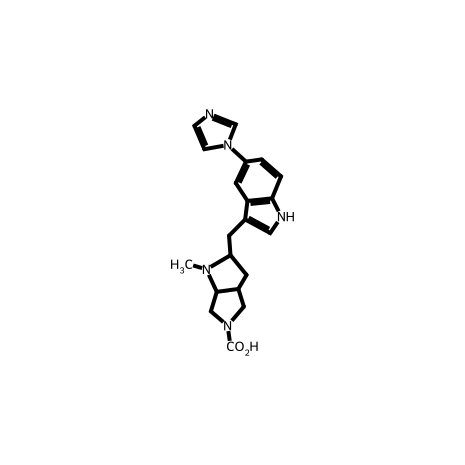 CN1C(Cc2c[nH]c3ccc(-n4ccnc4)cc23)CC2CN(C(=O)O)CC21